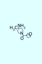 CC1(N)CCN(C(=O)C23COC(C2)C3)CC1